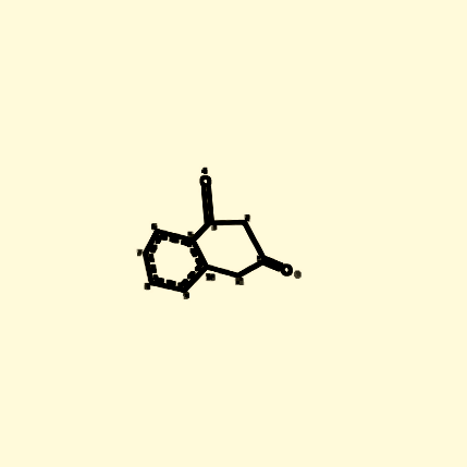 O=C1CC(=O)c2ccccc2C1